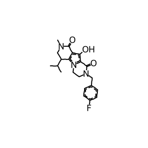 CC(C)C1CN(C)C(=O)c2c(O)c3n(c21)CCN(Cc1ccc(F)cc1)C3=O